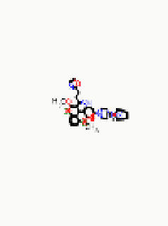 COC(=O)C1=C(CCc2ncco2)NC(CC(=O)N2CCN(C3CC4CCC(C3)N4C)CC2)=C(C(=O)OC)C1c1c(Cl)cccc1Cl